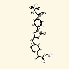 CC(C)OC(=O)C(C)N1CCN(CC2CN(c3ccc(C(=N)NS(C)(=O)=O)cc3)C(=O)O2)CC1